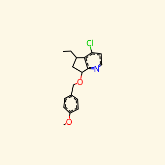 CCC1CC(OCc2ccc(OC)cc2)c2nccc(Cl)c21